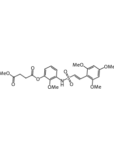 COC(=O)CCC(=O)Oc1cccc(NS(=O)(=O)/C=C/c2c(OC)cc(OC)cc2OC)c1OC